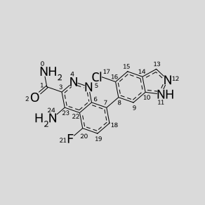 NC(=O)c1nnc2c(-c3cc4[nH]ncc4cc3Cl)ccc(F)c2c1N